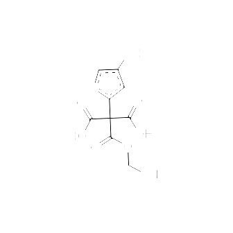 CCOC(=O)C(C(=O)O)(C(=O)O)c1cc(C)cs1